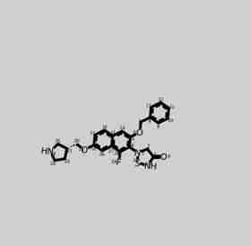 O=C1CN(c2c(OCc3ccccc3)cc3ccc(OC[C@@H]4CCNC4)cc3c2F)SN1